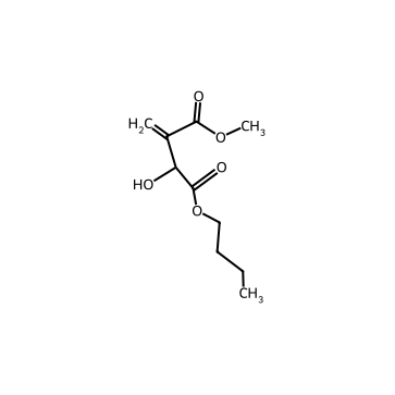 C=C(C(=O)OC)C(O)C(=O)OCCCC